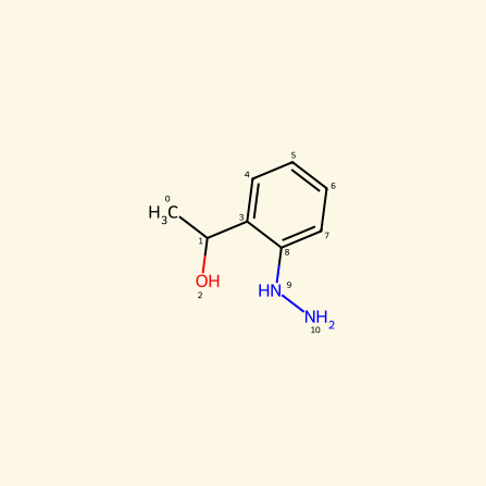 CC(O)c1ccccc1NN